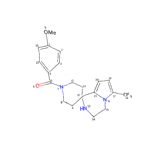 COc1ccc(C(=O)N2CCC3(CC2)NCCn2c(C(F)(F)F)ccc23)cc1